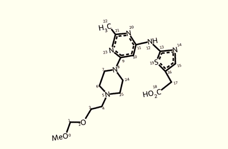 COCOCCN1CCN(c2cc(Nc3ncc(CC(=O)O)s3)nc(C)n2)CC1